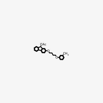 CC(=O)O[C@@H]1c2ccccc2-c2ccc(OCCCCOc3cccc(C)c3)cc21